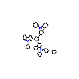 c1ccc(-c2ccc(N(c3ccccc3)c3ccc(-c4cc(-c5ccc6c7ccccc7n(-c7ccccc7)c6c5)cc(-c5ccc6c7ccccc7n(-c7ccccc7)c6c5)c4)c4ccccc34)cc2)cc1